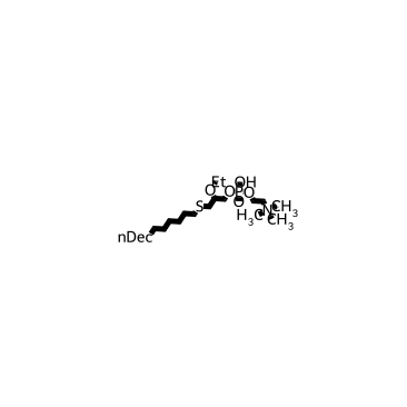 CCCCCCCCCCCCCCCCSCC(COP(=O)(O)OCC[N+](C)(C)C)OCC